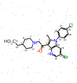 Cc1c(C(=O)CN2CCC(CC(=O)O)CC2)c2ncc(Br)cc2n1-c1ccc(Cl)cc1